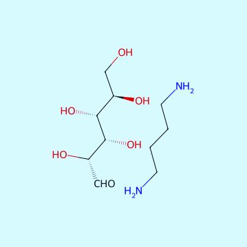 NCCCCN.O=C[C@H](O)[C@@H](O)[C@H](O)[C@H](O)CO